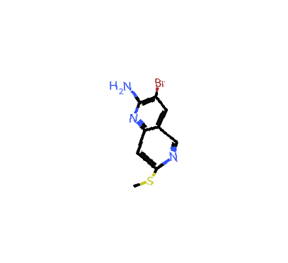 CSc1cc2nc(N)c(Br)cc2cn1